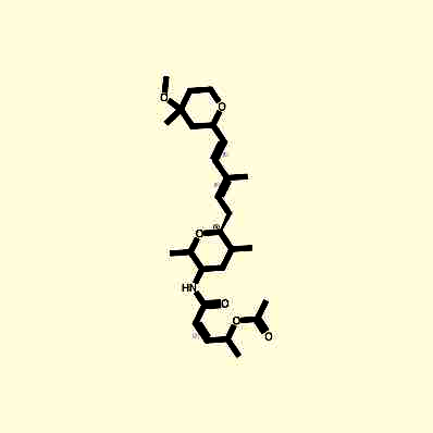 COC1(C)CCOC(/C=C/C(C)=C/C[C@@H]2OC(C)C(NC(=O)/C=C\C(C)OC(C)=O)CC2C)C1